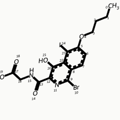 CCCCOc1ccc2c(Br)nc(C(=O)NCC(=O)O)c(O)c2c1I